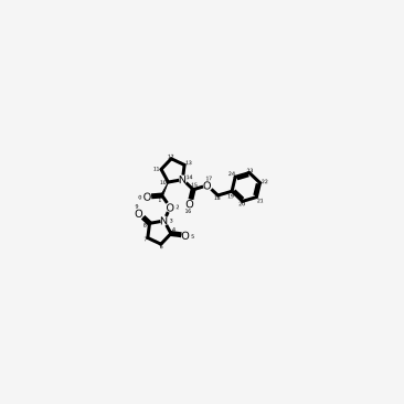 O=C(ON1C(=O)CCC1=O)[C@H]1CCCN1C(=O)OCc1ccccc1